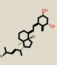 C=C1/C(=C\C=C2/CCC[C@]3(C)[C@@H](C(C)/C=C/C(C)C(C)C)CC[C@@H]23)C[C@@H](O)C[C@@H]1O